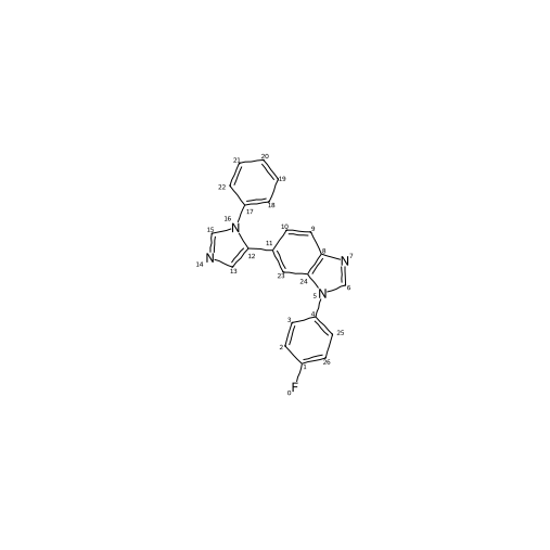 Fc1ccc(-n2cnc3ccc(-c4cncn4-c4ccccc4)cc32)cc1